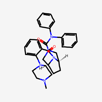 CN1CCN(c2ccccc2C(=O)N2[C@@H]3CC[C@H]2CN(C(=O)N(c2ccccc2)c2ccccc2)C3)CC1